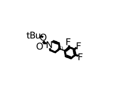 CC(C)(C)OC(=O)N1C=C[C@@H](c2ccc(F)c(F)c2F)CC1